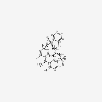 C[C@@H](c1ccccc1F)c1c(F)ccc2c1NC(NCc1ccccc1S(C)(=O)=O)=NS2(=O)=O